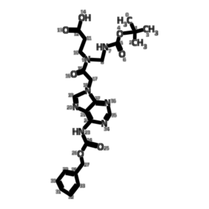 CC(C)(C)OC(=O)NCN(CCC(=O)O)C(=O)Cn1cnc2c(NC(=O)OCc3ccccc3)ncnc21